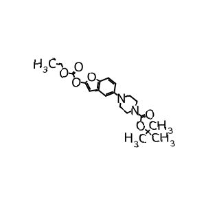 CCOC(=O)Oc1cc2cc(N3CCN(C(=O)OC(C)(C)C)CC3)ccc2o1